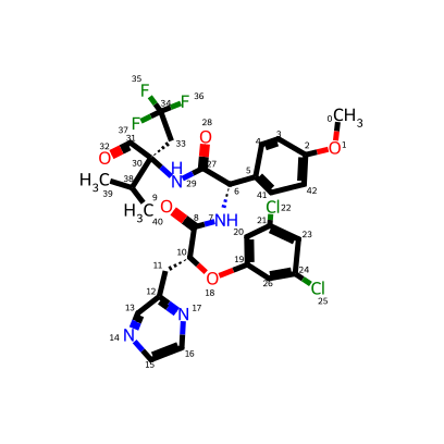 COc1ccc([C@H](NC(=O)[C@@H](Cc2cnccn2)Oc2cc(Cl)cc(Cl)c2)C(=O)N[C@@](C=O)(CC(F)(F)F)C(C)C)cc1